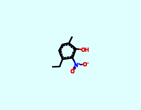 CCc1ccc(C)c(O)c1[N+](=O)[O-]